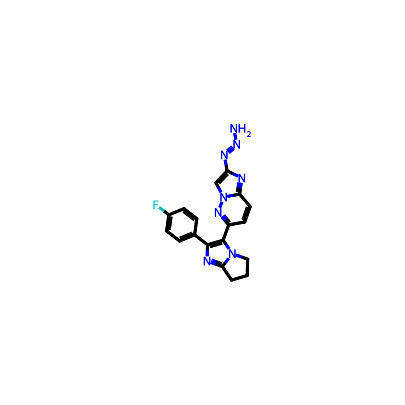 NN=Nc1cn2nc(-c3c(-c4ccc(F)cc4)nc4n3CCC4)ccc2n1